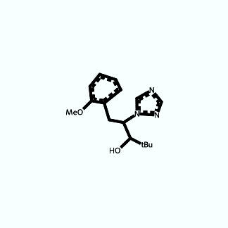 COc1ccccc1CC(C(O)C(C)(C)C)n1cncn1